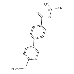 CCCCCCCSc1ncc(-c2ccc(C(=O)O[C@H](C)C#N)cc2)cn1